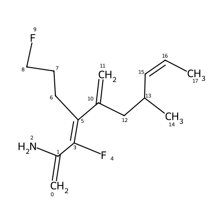 C=C(N)/C(F)=C(\CCCF)C(=C)CC(C)/C=C\C